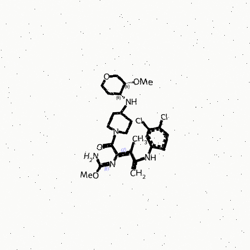 C=C(Nc1ccc(Cl)c(Cl)c1)/C(C)=C(\N=C(/N)OC)C(=O)N1CCC(N[C@@H]2CCOC[C@@H]2OC)CC1